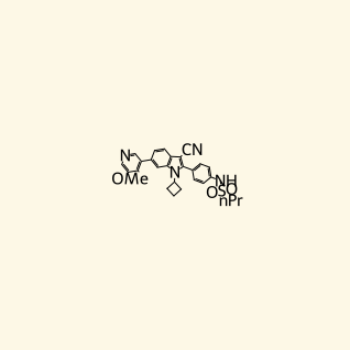 CCCS(=O)(=O)Nc1ccc(-c2c(C#N)c3ccc(-c4cnccc4OC)cc3n2C2CCC2)cc1